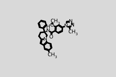 COc1cc(-n2cnnc2C)ccc1C(=O)N[C@]1(c2ccccc2)CCc2cc3cc(C)ccc3n2C1